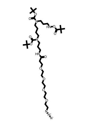 CC(C)(C)OC(=O)N(CCCCN(CCCNC(=O)CCOCCOCCOCCOCCN=[N+]=[N-])C(=O)OC(C)(C)C)CCCNOC(=O)C(C)(C)C